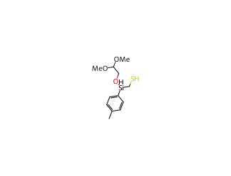 COC(CO[SiH](CS)c1ccc(C)cc1)OC